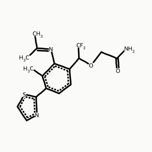 CC(C)=Nc1c(C(OCC(N)=O)C(F)(F)F)ccc(-c2nccs2)c1C